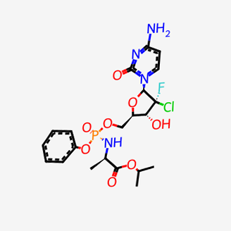 CC(C)OC(=O)[C@@H](C)N[P@](=O)(OC[C@H]1O[C@@H](n2ccc(N)nc2=O)[C@@](F)(Cl)[C@@H]1O)Oc1ccccc1